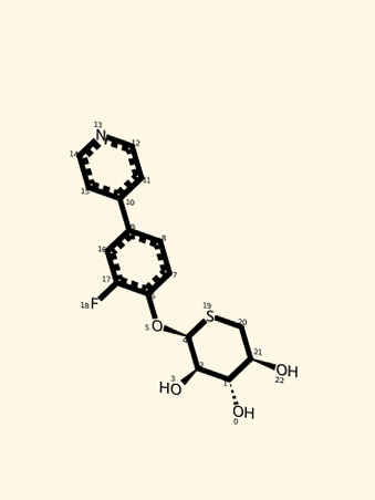 O[C@@H]1[C@@H](O)[C@@H](Oc2ccc(-c3ccncc3)cc2F)SC[C@H]1O